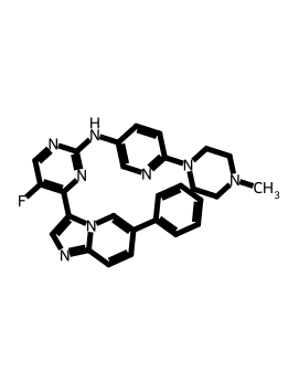 CN1CCN(c2ccc(Nc3ncc(F)c(-c4cnc5ccc(-c6ccccc6)cn45)n3)cn2)CC1